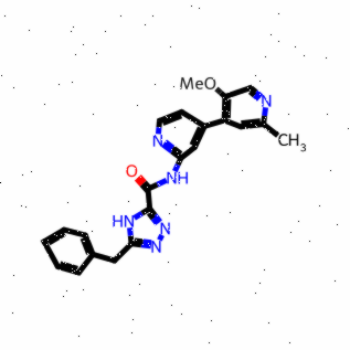 COc1cnc(C)cc1-c1ccnc(NC(=O)c2nnc(Cc3ccccc3)[nH]2)c1